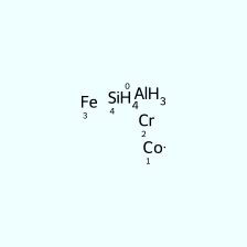 [AlH3].[Co].[Cr].[Fe].[SiH4]